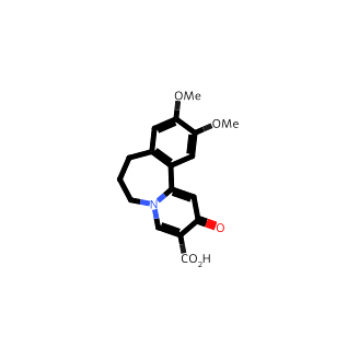 COc1cc2c(cc1OC)-c1cc(=O)c(C(=O)O)cn1CCC2